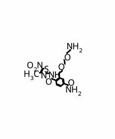 Cc1nc(NC(=O)c2ccc(C(N)=O)cc2CCOCCOCCN)sc1[N+](=O)[O-]